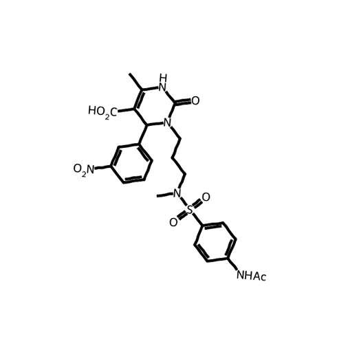 CC(=O)Nc1ccc(S(=O)(=O)N(C)CCCN2C(=O)NC(C)=C(C(=O)O)C2c2cccc([N+](=O)[O-])c2)cc1